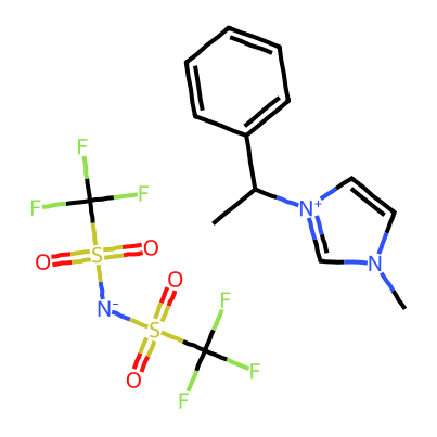 CC(c1ccccc1)[n+]1ccn(C)c1.O=S(=O)([N-]S(=O)(=O)C(F)(F)F)C(F)(F)F